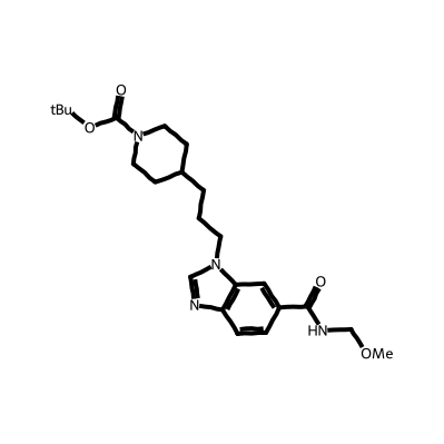 COCNC(=O)c1ccc2ncn(CCCC3CCN(C(=O)OC(C)(C)C)CC3)c2c1